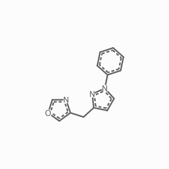 c1ccc(-n2ccc(Cc3cocn3)n2)cc1